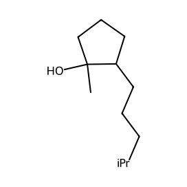 CC(C)CCCC1CCCC1(C)O